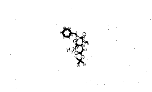 CN(C(=O)OCc1ccccc1)[C@@H](CC(=O)OC(C)(C)C)C(N)=O